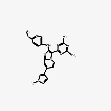 COc1ccc(Nc2nc3cc(-c4cnn(C)c4)ccn3c2-c2nc(C)nc(N)n2)cn1